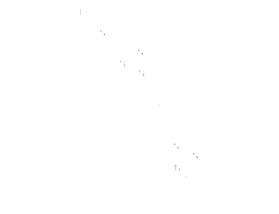 CCc1cnc(N2CCC(COC3CCN(c4ncc5c(n4)CCN(S(C)(=O)=O)C5)CC3)CC2)nc1